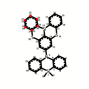 C[Si]1(C)c2ccccc2N(c2cc3c4c(c2)Sc2ccccc2[Si]4(c2ccccc2)c2ccccc2S3)c2ccccc21